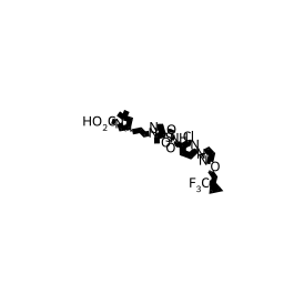 Cc1c(S(=O)(=O)NC(=O)c2ccc(-n3ccc(OCCC4(C(F)(F)F)CC4)n3)nc2Cl)cnn1CCC[C@@H]1CN(C(=O)O)C(C)(C)C1